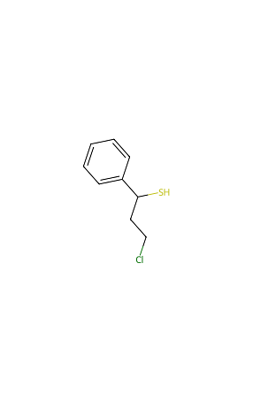 SC(CCCl)c1ccccc1